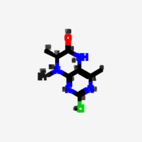 Cc1nc(Cl)nc2c1NC(=O)[C@H](C)N2C(C)C